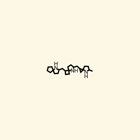 CC1CCC2(CC2CC2CCC3(CCC3CC3CCC4(CCCC4)N3)N2)N1